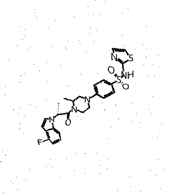 CC1CN(c2ccc(S(=O)(=O)Nc3nccs3)cc2)CCN1C(=O)[C@@H](C)n1ccc2c(F)cccc21